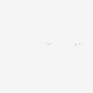 Cc1ccc(C(=O)NC(Sc2ccc(Cl)cc2)C(Cl)(Cl)Cl)cc1